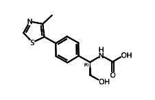 Cc1ncsc1-c1ccc([C@H](CO)NC(=O)O)cc1